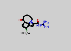 CS(=O)(=O)O.N=C(N)NC(=O)c1cc2c(F)ccc3c2n1CCCCC3=O